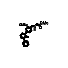 COC(=O)CNCc1ccc(-c2cccc(-c3ccccc3)c2C)nc1OC